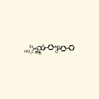 CCC(C(=O)O)N1Cc2sc(-c3ccc(NC(=O)c4ccc(-c5ccccc5)cc4)cc3)cc2S1(=O)=O